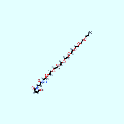 CC(=O)CCOCCOCCOCCOCCOCCOCCOCCOCCNC(=O)CCN1C(=O)C=CC1=O